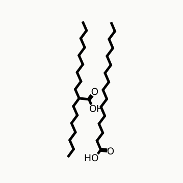 CCCCCCCCCC(CCCCCCC)C(=O)O.CCCCCCCCCCCCCCCC(=O)O